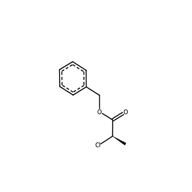 C[C@@H](Cl)C(=O)OCc1ccccc1